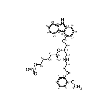 COc1ccccc1OCCNCC(COc1cccc2[nH]c3ccccc3c12)OC(=O)CSCCO[N+](=O)[O-]